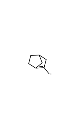 [CH]C1=C2CCC(C1)C2